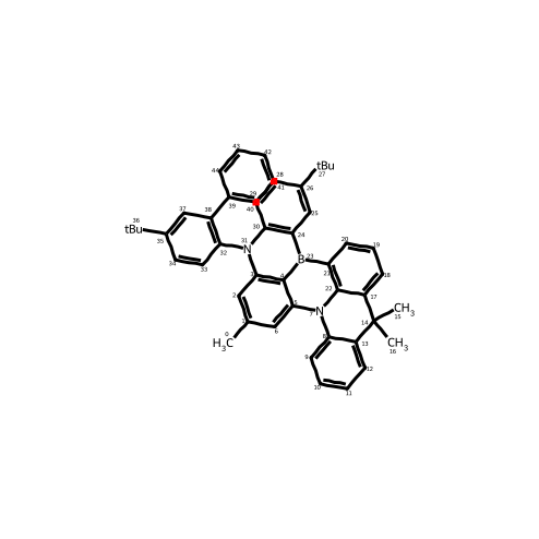 Cc1cc2c3c(c1)N1c4ccccc4C(C)(C)c4cccc(c41)B3c1cc(C(C)(C)C)ccc1N2c1ccc(C(C)(C)C)cc1-c1ccccc1